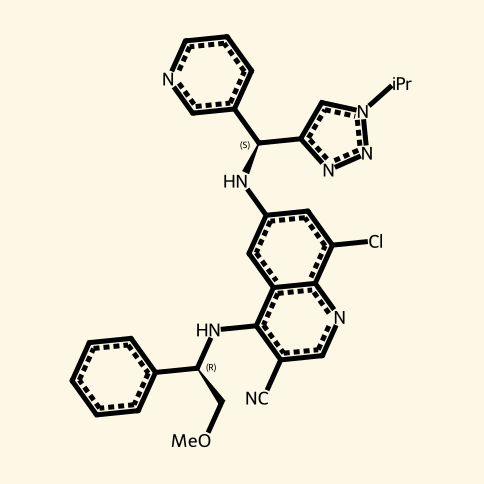 COC[C@H](Nc1c(C#N)cnc2c(Cl)cc(N[C@@H](c3cccnc3)c3cn(C(C)C)nn3)cc12)c1ccccc1